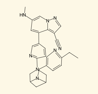 CCc1ccc(CN2C3CC2CN(c2ccc(-c4cc(NC)cn5ncc(C#N)c45)cn2)C3)cn1